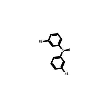 CCc1cccc(N(I)c2cccc(CC)c2)c1